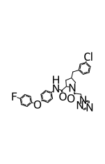 O=C(Nc1ccc(Oc2ccc(F)cc2)cc1)C1CC(Cc2cccc(Cl)c2)CN1C(=O)Cn1cncn1